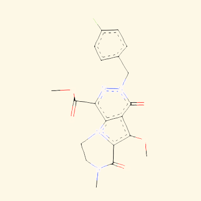 COC(=O)c1nn(Cc2ccc(F)cc2)c(=O)c2c(OC)c3n(c12)CCN(C)C3=O